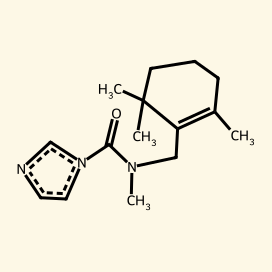 CC1=C(CN(C)C(=O)n2ccnc2)C(C)(C)CCC1